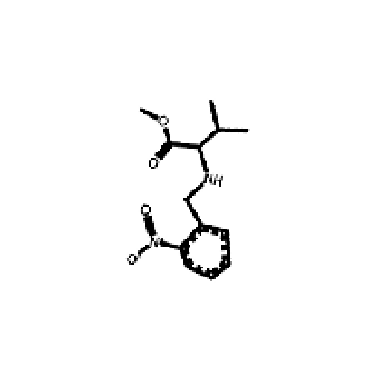 COC(=O)C(NCc1ccccc1[N+](=O)[O-])C(C)C